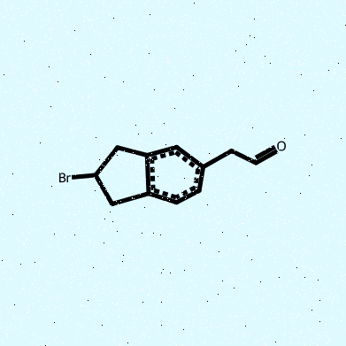 O=CCc1ccc2c(c1)CC(Br)C2